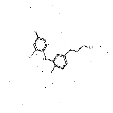 CC(C)(C)COCc1ccc(F)c(Nc2ccc(Cl)cc2Cl)c1